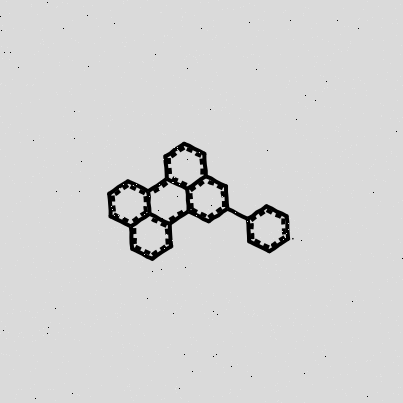 [c]1ccc(-c2cc3cccc4c5cccc6cccc(c(c2)c34)c65)cc1